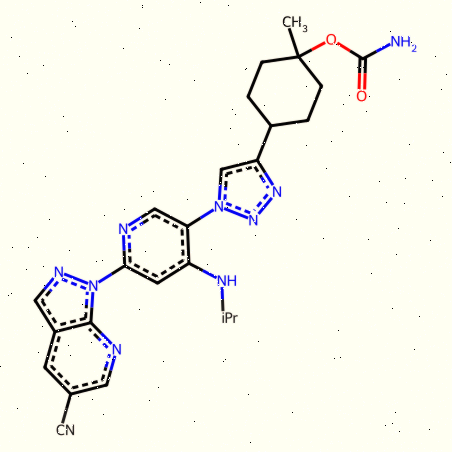 CC(C)Nc1cc(-n2ncc3cc(C#N)cnc32)ncc1-n1cc(C2CCC(C)(OC(N)=O)CC2)nn1